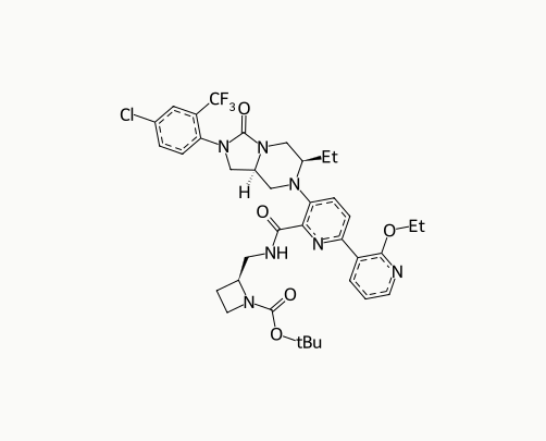 CCOc1ncccc1-c1ccc(N2C[C@H]3CN(c4ccc(Cl)cc4C(F)(F)F)C(=O)N3C[C@H]2CC)c(C(=O)NC[C@@H]2CCN2C(=O)OC(C)(C)C)n1